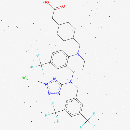 CCN(CC1CCC(CC(=O)O)CC1)c1ccc(C(F)(F)F)cc1CN(Cc1cc(C(F)(F)F)cc(C(F)(F)F)c1)c1nnn(C)n1.Cl